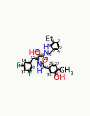 CCc1cccc(CNC[C@H](O)[C@H](Cc2cc(F)cc(F)c2)NC(=O)Cc2ccc(C)c(O)c2)c1